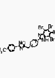 Cc1ccc(-c2noc(CN3CCN(c4nc5c(Br)c(Br)c(Br)c(Br)c5[nH]4)CC3)n2)cc1